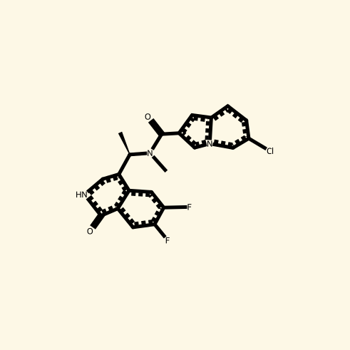 C[C@H](c1c[nH]c(=O)c2cc(F)c(F)cc12)N(C)C(=O)c1cc2ccc(Cl)cn2c1